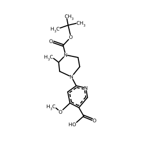 COc1cc(N2CCN(C(=O)OC(C)(C)C)C(C)C2)ncc1C(=O)O